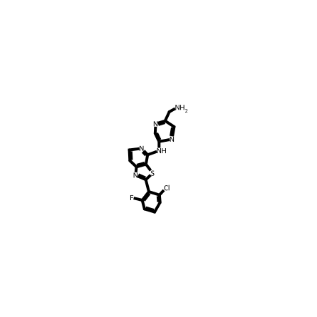 NCc1cnc(Nc2nccc3nc(-c4c(F)cccc4Cl)sc23)cn1